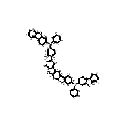 c1ccc(N(c2ccc3c(c2)oc2ccccc23)c2ccc3c(c2)oc2cc4oc5cc6oc7cc(N(c8ccccc8)c8ccc9c(c8)oc8ccccc89)ccc7c6cc5c4cc23)cc1